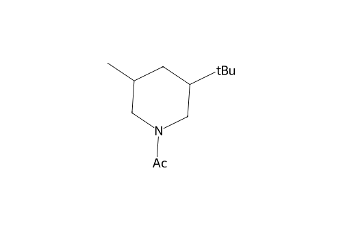 CC(=O)N1CC(C)CC(C(C)(C)C)C1